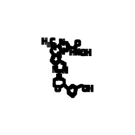 CN(Cc1cc2nc(N3CCOC(c4cccc(CO)c4)C3)ncc2s1)c1ncc(C(=O)NO)cn1